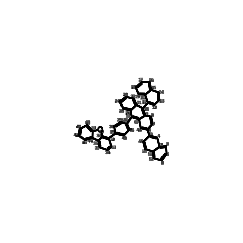 c1ccc2cc(-c3ccc4c(-c5cccc6ccccc56)c5ccccc5c(-c5ccc(-c6cccc7c6oc6ccccc67)cc5)c4c3)ccc2c1